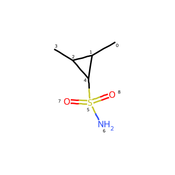 CC1C(C)C1S(N)(=O)=O